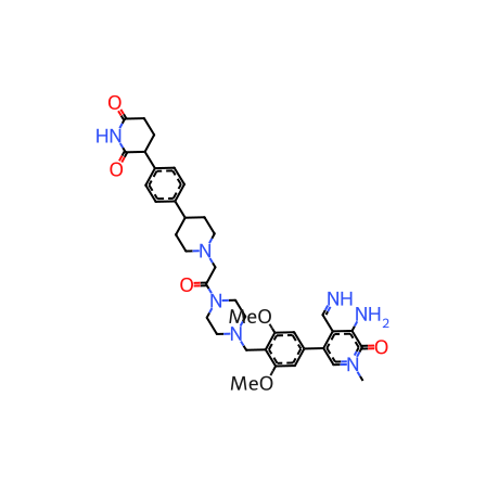 COc1cc(-c2cn(C)c(=O)c(N)c2C=N)cc(OC)c1CN1CCN(C(=O)CN2CCC(c3ccc(C4CCC(=O)NC4=O)cc3)CC2)CC1